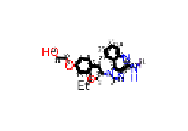 CCOC[C@H](Cc1ccc(OCCO)cc1)n1cnc2c(NI)nc3ccccc3c21